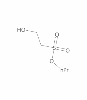 CCCOS(=O)(=O)CCO